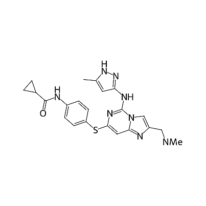 CNCc1cn2c(Nc3cc(C)[nH]n3)nc(Sc3ccc(NC(=O)C4CC4)cc3)cc2n1